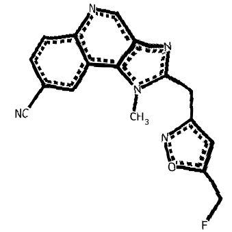 Cn1c(Cc2cc(CF)on2)nc2cnc3ccc(C#N)cc3c21